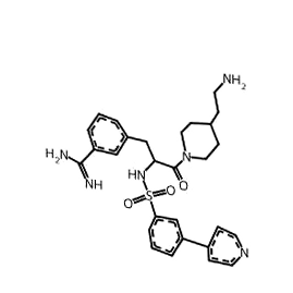 N=C(N)c1cccc(CC(NS(=O)(=O)c2cccc(-c3ccncc3)c2)C(=O)N2CCC(CCN)CC2)c1